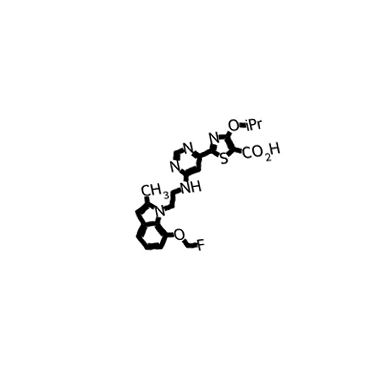 Cc1cc2cccc(OCF)c2n1CCNc1cc(-c2nc(OC(C)C)c(C(=O)O)s2)ncn1